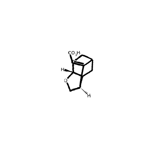 O=C(O)C=C1C2CO[C@H]3OC[C@@H]1C3C2